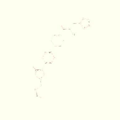 CC(=O)NCn1cc(-c2ccc(N3CCN(C(=O)C(N)Cc4c[nH]cn4)CC3)c(F)c2)c(=O)o1